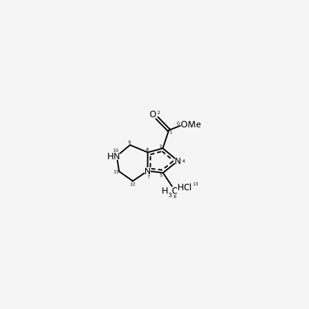 COC(=O)c1nc(C)n2c1CNCC2.Cl